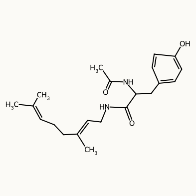 CC(=O)NC(Cc1ccc(O)cc1)C(=O)NC/C=C(\C)CCC=C(C)C